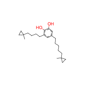 CC1(CCCCCc2cc(O)c(O)c(CCCCC3(C)CC3)c2)CC1